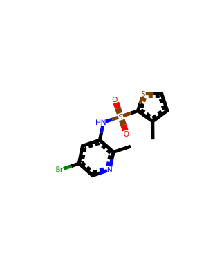 Cc1ccsc1S(=O)(=O)Nc1cc(Br)cnc1C